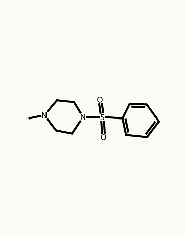 [CH2]N1CCN(S(=O)(=O)c2ccccc2)CC1